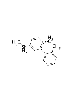 C[SiH2]c1cc[n+](C)c(-c2ccccc2C)c1